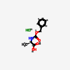 C[C@H](NC(=O)OCc1ccccc1)C(=O)O.Cl